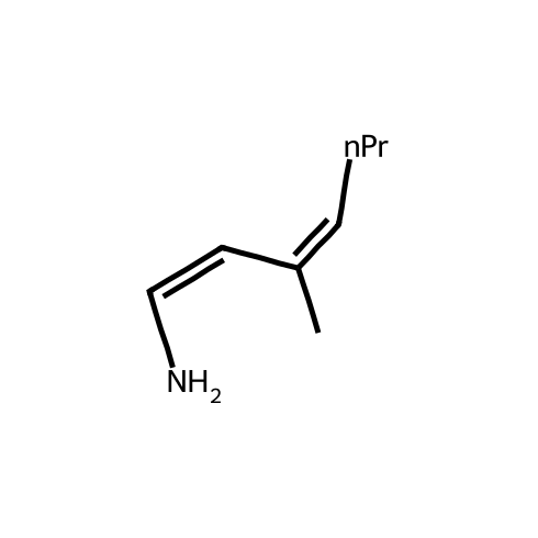 CCC/C=C(C)\C=C/N